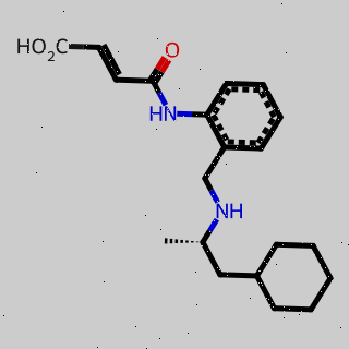 C[C@@H](CC1CCCCC1)NCc1ccccc1NC(=O)C=CC(=O)O